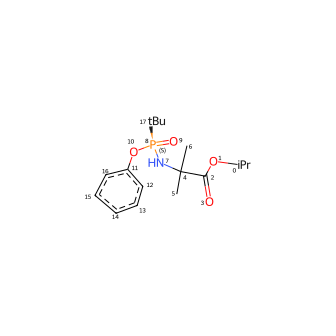 CC(C)OC(=O)C(C)(C)N[P@@](=O)(Oc1ccccc1)C(C)(C)C